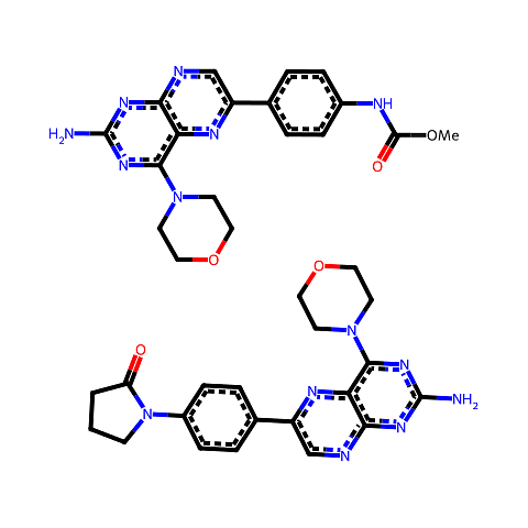 COC(=O)Nc1ccc(-c2cnc3nc(N)nc(N4CCOCC4)c3n2)cc1.Nc1nc(N2CCOCC2)c2nc(-c3ccc(N4CCCC4=O)cc3)cnc2n1